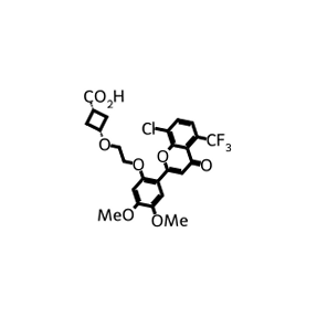 COc1cc(OCCO[C@H]2C[C@@H](C(=O)O)C2)c(-c2cc(=O)c3c(C(F)(F)F)ccc(Cl)c3o2)cc1OC